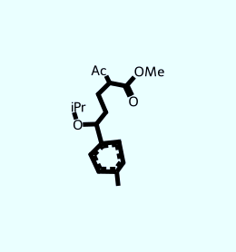 COC(=O)C(CCC(OC(C)C)c1ccc(C)cc1)C(C)=O